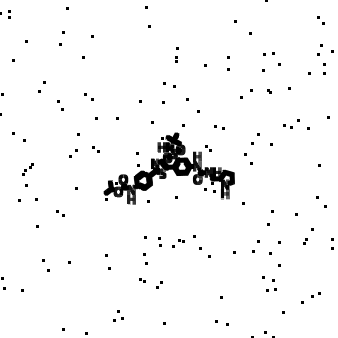 CC(C)OC(=O)Nc1ccc(-c2ncc(-c3ccc(NC(=O)NCC4CCCN4)cc3S(=O)(=O)NC(C)(C)C)s2)cc1